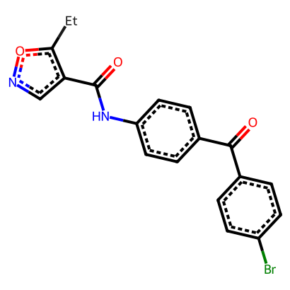 CCc1oncc1C(=O)Nc1ccc(C(=O)c2ccc(Br)cc2)cc1